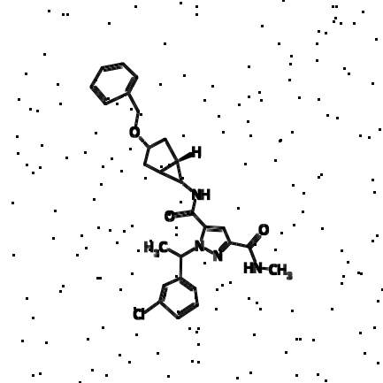 CNC(=O)c1cc(C(=O)NC2C3CC(OCc4ccccc4)C[C@@H]32)n(C(C)c2cccc(Cl)c2)n1